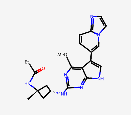 CCC(=O)N[C@]1(C)C[C@H](Nc2nc(OC)c3c(-c4ccc5nccn5c4)c[nH]c3n2)C1